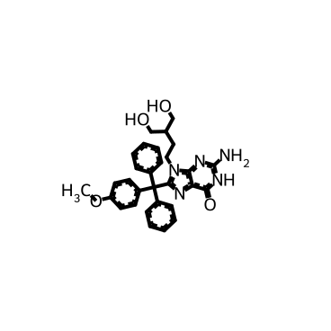 COc1ccc(C(c2ccccc2)(c2ccccc2)c2nc3c(=O)[nH]c(N)nc3n2CCC(CO)CO)cc1